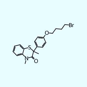 CN1C(=O)C(C)(c2ccc(OCCCCBr)cc2)Sc2ccccc21